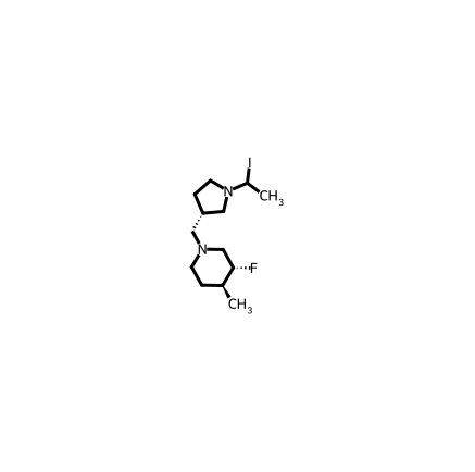 CC(I)N1CC[C@@H](CN2CC[C@H](C)[C@@H](F)C2)C1